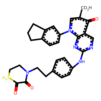 O=C1[SH4]CCN(CCc2ccc(Nc3ncc4c(=O)c(C(=O)O)cn(-c5ccc6c(c5)CCC6)c4n3)cc2)C1=O